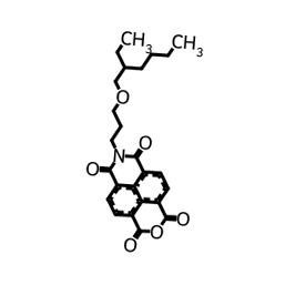 CCCCC(CC)COCCCN1C(=O)c2ccc3c4c(ccc(c24)C1=O)C(=O)OC3=O